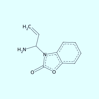 C=CC(N)n1c(=O)oc2ccccc21